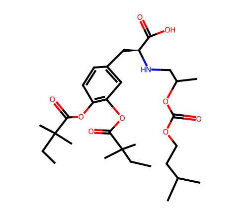 CCC(C)(C)C(=O)Oc1ccc(C[C@H](NCC(C)OC(=O)OCCC(C)C)C(=O)O)cc1OC(=O)C(C)(C)CC